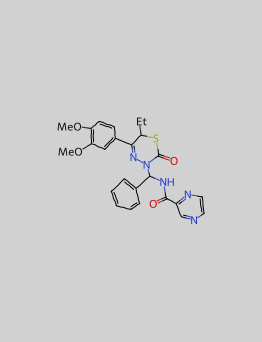 CCC1SC(=O)N(C(NC(=O)c2cnccn2)c2ccccc2)N=C1c1ccc(OC)c(OC)c1